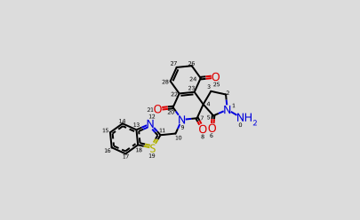 NN1CCC2(C1=O)C(=O)N(Cc1nc3ccccc3s1)C(=O)C1=C2C(=O)CC=C1